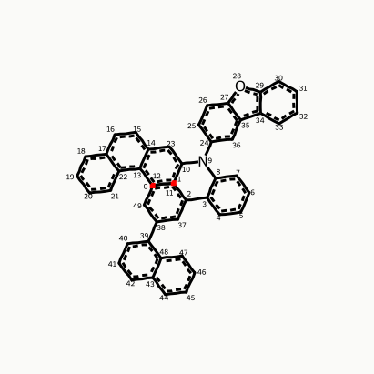 c1cc(-c2ccccc2N(c2ccc3c(ccc4ccccc43)c2)c2ccc3oc4ccccc4c3c2)cc(-c2cccc3ccccc23)c1